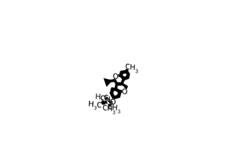 Cc1ccc2c(c1)OC(C1CC1)C1=C2COc2cc(O[Si](C)(C)C(C)(C)C)ccc21